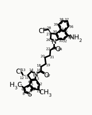 Cc1cc2c(c3c(C)csc13)[C@H](CCl)CN2C(=O)CCCCCC(=O)N1C[C@@H](CCl)c2c1cc(N)c1ccccc21